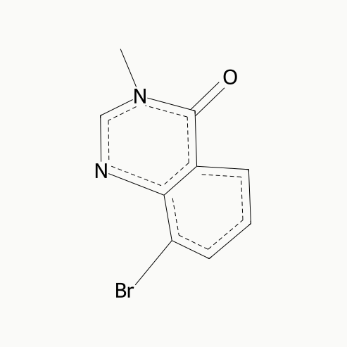 Cn1cnc2c(Br)cccc2c1=O